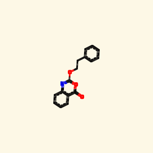 O=c1oc(OCCc2ccccc2)nc2ccccc12